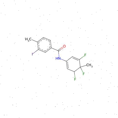 Cc1ccc(C(=O)NC2=CC(F)C(C)(F)C(F)=C2)cc1I